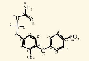 CCc1cc(CC(C)(C)OC(N)=O)ccc1Oc1ccc([N+](=O)[O-])cc1